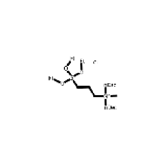 CCCCCCCCCC[N+](C)(CCCCCCCCCC)CCC[Si](OCC)(OCC)OCC.[Cl-]